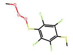 COOOSc1c(F)c(F)c(SC)c(F)c1F